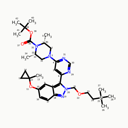 C[C@@H]1CN(c2cc(-c3c4cc(OC5(C)CC5)ccc4nn3COCC[Si](C)(C)C)ncn2)C[C@H](C)N1C(=O)OC(C)(C)C